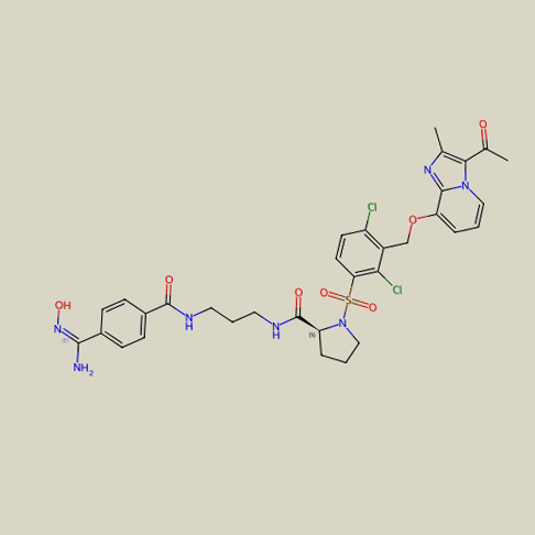 CC(=O)c1c(C)nc2c(OCc3c(Cl)ccc(S(=O)(=O)N4CCC[C@H]4C(=O)NCCCNC(=O)c4ccc(/C(N)=N\O)cc4)c3Cl)cccn12